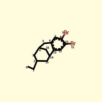 CCC1CC2Cc3cc(Br)c(Br)cc3C(C1)C2